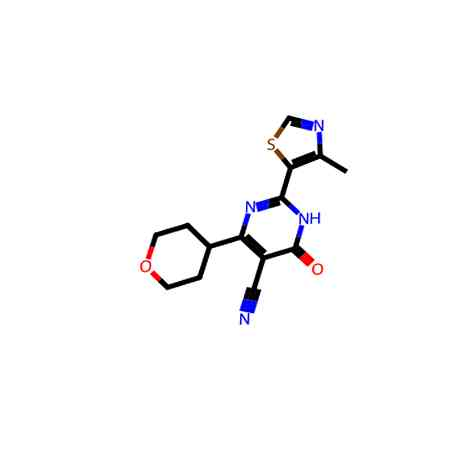 Cc1ncsc1-c1nc(C2CCOCC2)c(C#N)c(=O)[nH]1